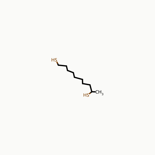 CC(S)CCCCCCCCS